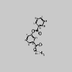 COC(=O)c1cccc(OC(=O)c2ccccc2)c1